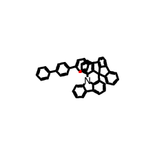 c1ccc(-c2ccc(-c3ccc(-c4cccc5c4C4(c6ccccc6-5)c5ccccc5-n5c6ccccc6c6cccc4c65)cc3)cc2)cc1